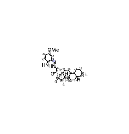 COC1=C/C(=N/NCC(=O)[C@H]2[C@H](C)[C@@H](C)[C@H]3[C@@H]4CC[C@@H]5C[C@@H](C)CCC5C4CC[C@@]32C)C(=N)C=C1